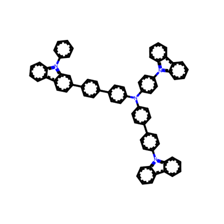 c1ccc(-n2c3ccccc3c3ccc(-c4ccc(-c5ccc(N(c6ccc(-c7ccc(-n8c9ccccc9c9ccccc98)cc7)cc6)c6ccc(-n7c8ccccc8c8ccccc87)cc6)cc5)cc4)cc32)cc1